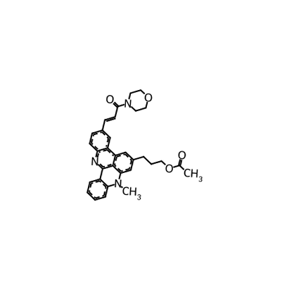 CC(=O)OCCCc1cc2c3c(nc4ccc(C=CC(=O)N5CCOCC5)cc4c3c1)-c1ccccc1N2C